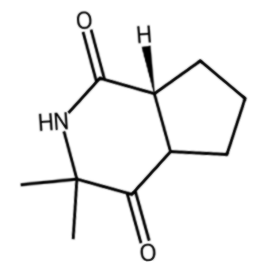 CC1(C)NC(=O)[C@@H]2CCCC2C1=O